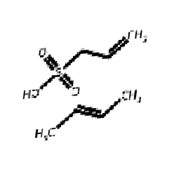 C=CCS(=O)(=O)O.CC=CC